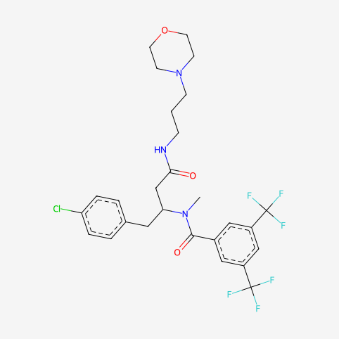 CN(C(=O)c1cc(C(F)(F)F)cc(C(F)(F)F)c1)C(CC(=O)NCCCN1CCOCC1)Cc1ccc(Cl)cc1